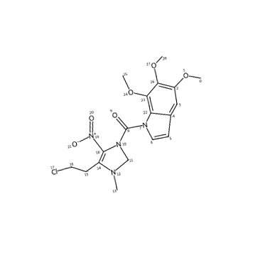 COc1cc2ccn(C(=O)N3CN(C)C([CH]CCl)=C3[N+](=O)[O-])c2c(OC)c1OC